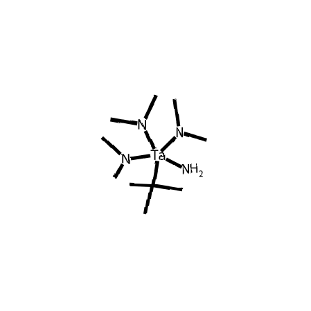 C[N](C)[Ta]([NH2])([N](C)C)([N](C)C)[C](C)(C)C